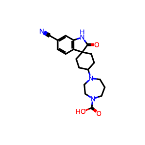 N#Cc1ccc2c(c1)NC(=O)C21CCC(N2CCCN(C(=O)O)CC2)CC1